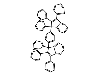 c1ccc(C2=C(c3ccccc3)C(c3ccccc3)(c3ccc(C4(c5ccccc5)C(c5ccccc5)=C(c5ccccc5)c5ccccc54)cc3)c3ccccc32)cc1